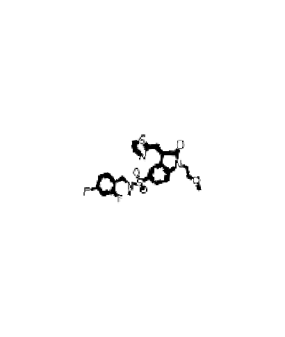 COCCN1C(=O)/C(=C/c2nccs2)c2cc(S(=O)(=O)N(C)Cc3ccc(F)cc3F)ccc21